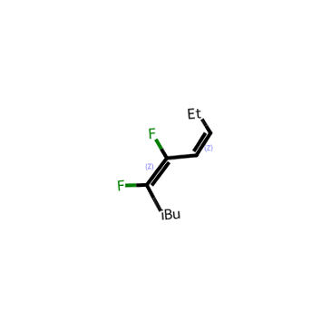 CC/C=C\C(F)=C(\F)C(C)CC